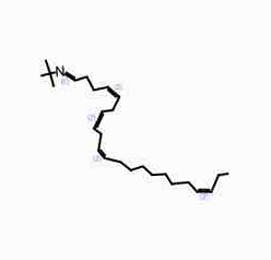 CC/C=C\CCCCCCC/C=C\C/C=C\C/C=C\CC/C=N/C(C)(C)C